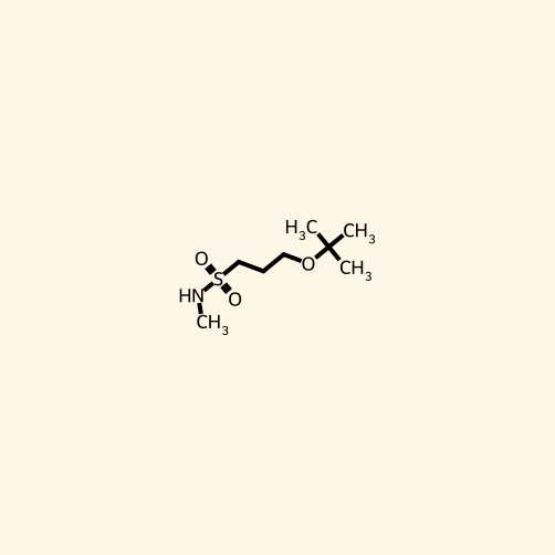 CNS(=O)(=O)CCCOC(C)(C)C